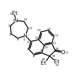 CCN1CCCN(c2ccc3c4c(cccc24)C(=O)C3(CC)CC)CC1